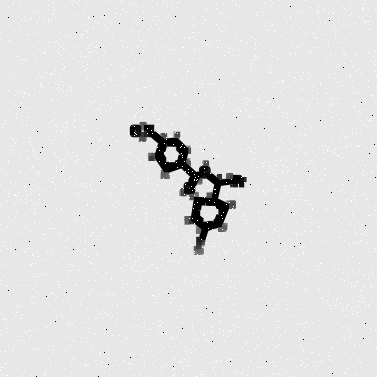 CC(C)C(OC(=O)c1ccc([N+](=O)[O-])cc1)c1ccc(F)cc1